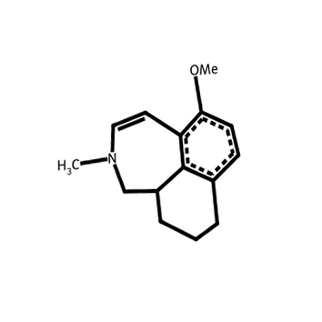 COc1ccc2c3c1C=CN(C)CC3CCC2